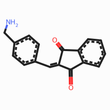 NCc1ccc(C=C2C(=O)c3ccccc3C2=O)cc1